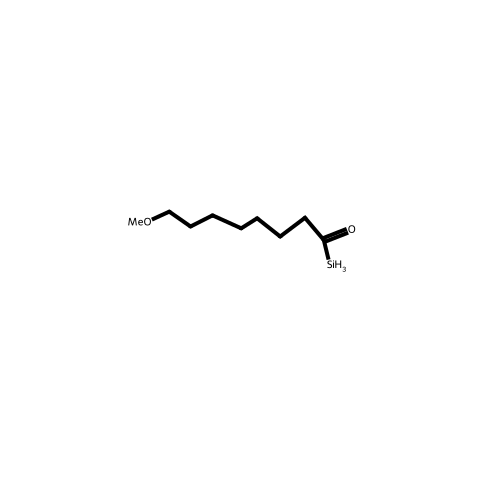 COCCCCCCCC(=O)[SiH3]